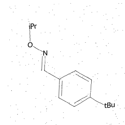 CC(C)O/N=C/c1ccc(C(C)(C)C)cc1